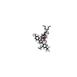 CCCN(CCC)C(=O)CC1CCN(C(=O)N2C(c3cnc(C(C)(C)C)cc3OCC)=N[C@@](C)(c3ccc(Cl)cc3)[C@@]2(C)c2ccc(Cl)cc2)CC1